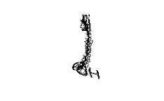 C[Si](C)(C)C#CCCCCCCCCCCCCCCCC(=O)O